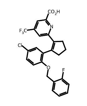 O=C(O)c1cc(C(F)(F)F)cc(C2=C(c3cc(Cl)ccc3OCc3ccccc3F)CCC2)n1